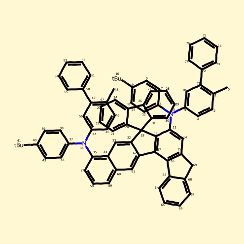 Cc1ccc(N(c2ccc(C(C)(C)C)cc2)c2cc3c(c4c2C2(c5ccccc5-c5ccccc52)c2cc5c(N(c6ccc(C(C)(C)C)cc6)c6ccc(C)c(-c7ccccc7)c6)cccc5cc2-4)-c2ccccc2C3)cc1-c1ccccc1